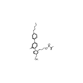 C=C(C)C(=O)OCCCc1cc(CCO)ccc1-c1ccc(-c2ccc(CCCCC)cc2)cc1C